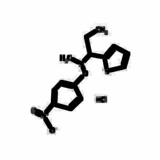 CCC(c1cccs1)N(C)Oc1ccc([N+](=O)[O-])cc1.Cl